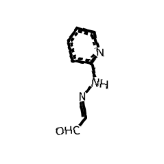 O=CC=NNc1ccccn1